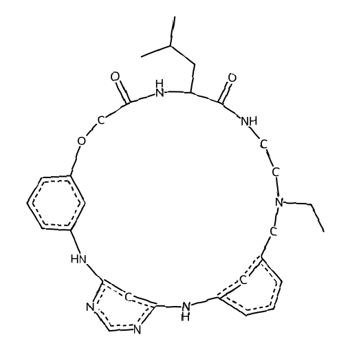 CCN1CCNC(=O)C(CC(C)C)NC(=O)COc2cccc(c2)Nc2cc(ncn2)Nc2cccc(c2)C1